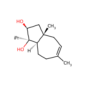 CC1=CC[C@@]2(C)C[C@H](O)[C@@](O)(C(C)C)[C@@H]2CC1